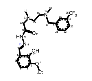 CCOc1cccc(/C=N/NC(=O)CN(C)CCN(C)Cc2cccc(C(F)(F)F)c2)c1O